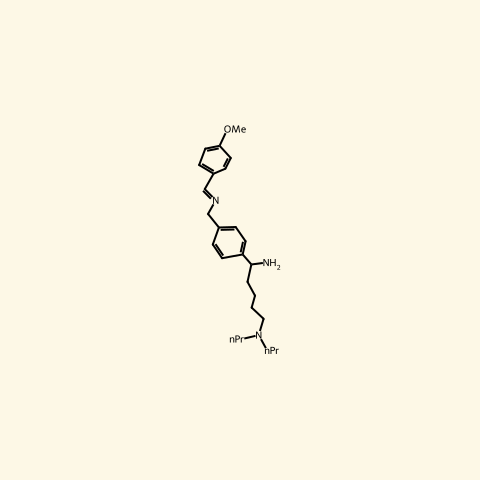 CCCN(CCC)CCCCC(N)c1ccc(CN=Cc2ccc(OC)cc2)cc1